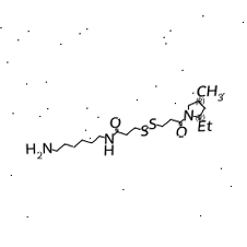 CC[C@@H]1C[C@@H](C)CN1C(=O)CCSSCCC(=O)NCCCCCCN